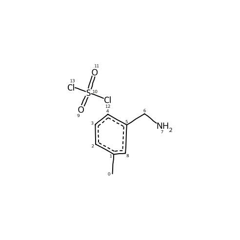 Cc1cccc(CN)c1.O=S(=O)(Cl)Cl